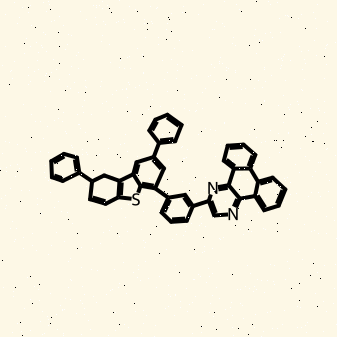 C1=CC(c2ccccc2)Cc2c1sc1c(-c3cccc(-c4cnc5c6ccccc6c6ccccc6c5n4)c3)cc(-c3ccccc3)cc21